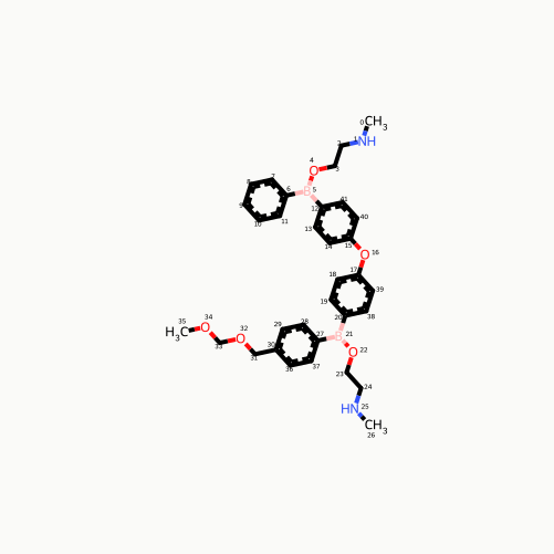 CNCCOB(c1ccccc1)c1ccc(Oc2ccc(B(OCCNC)c3ccc(COCOC)cc3)cc2)cc1